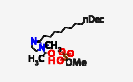 CCCCCCCCCCCCCCCCCCC1=NCC[N+]1(C)C(C)O.COS(=O)(=O)[O-]